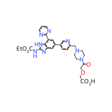 CCOC(=O)Nc1nc2cc(-c3ccc(CN4CCN(C(=O)COCC(=O)O)CC4)nc3)cc(-c3ncccn3)c2[nH]1